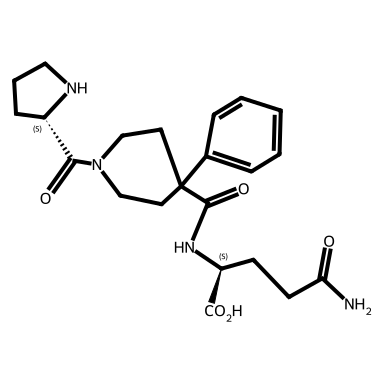 NC(=O)CC[C@H](NC(=O)C1(c2ccccc2)CCN(C(=O)[C@@H]2CCCN2)CC1)C(=O)O